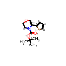 CC(C)(C)OC(=O)N1CCOC=C1c1cccs1